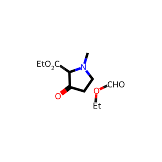 CCOC(=O)C1C(=O)CCN1C.CCOC=O